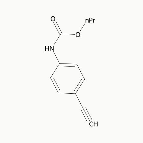 C#Cc1ccc(NC(=O)OCCC)cc1